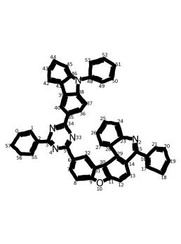 C1=CC(c2nc(-c3ccc4oc5ccc6c(-c7ccccc7)nc7ccccc7c6c5c4c3)nc(-c3ccc4c(c3)c3ccccc3n4-c3ccccc3)n2)=CCC1